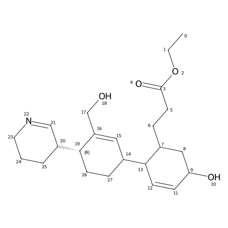 CCOC(=O)CCC1CC(O)C=CC1C1C=C(CO)[C@@H](C2C=NCCC2)CC1